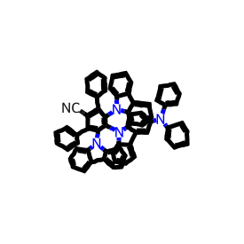 N#Cc1c(-c2ccccc2)c(-n2c3ccccc3c3ccccc32)c(-n2c3ccccc3c3cc(N(c4ccccc4)c4ccccc4)ccc32)c(-n2c3ccccc3c3ccccc32)c1-c1ccccc1